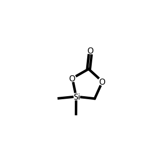 C[Si]1(C)COC(=O)O1